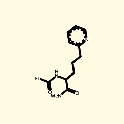 CCC(=O)NC(CCCc1ccccn1)C(=O)NC